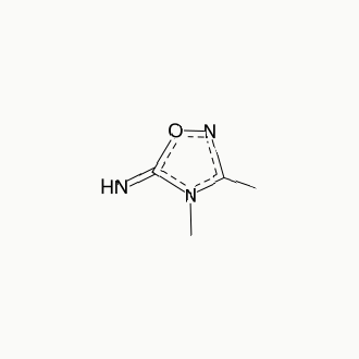 Cc1noc(=N)n1C